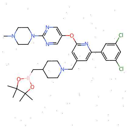 CN1CCN(c2ncc(Oc3cc(CN4CCC(CB5OC(C)(C)C(C)(C)O5)CC4)cc(-c4cc(Cl)cc(Cl)c4)n3)cn2)CC1